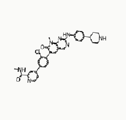 CNC(=O)c1cc(-c2ccc(-c3cc4cnc(Nc5ccc(C6CCNCC6)cc5)nc4n(C)c3=O)c(Cl)c2)ccn1